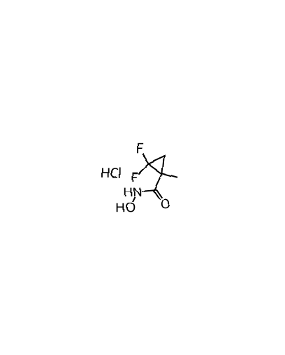 CC1(C(=O)NO)CC1(F)F.Cl